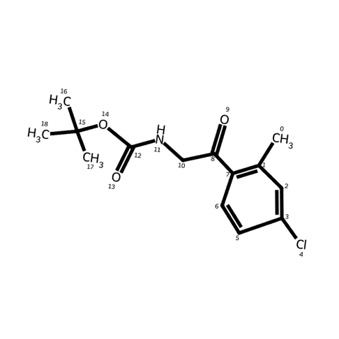 Cc1cc(Cl)ccc1C(=O)CNC(=O)OC(C)(C)C